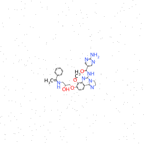 COc1c(OCC(O)CN[C@@H](C)c2ccccc2)ccc2c1N=C(NC(=O)c1cnc(N)nc1)N1CCN=C21